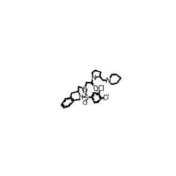 O=C(COCC1Cc2ccccc2CN1S(=O)(=O)c1ccc(Cl)c(Cl)c1)N1CCCC1CN1CCCCC1